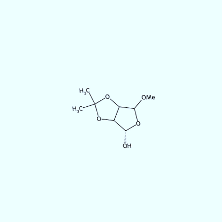 COC1O[C@H](O)C2OC(C)(C)OC12